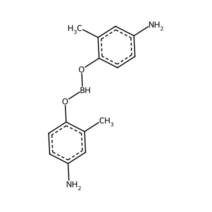 Cc1cc(N)ccc1OBOc1ccc(N)cc1C